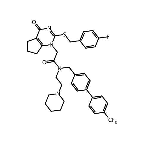 O=C(Cn1c(SCc2ccc(F)cc2)nc(=O)c2c1CCC2)N(CCN1CCCCC1)Cc1ccc(-c2ccc(C(F)(F)F)cc2)cc1